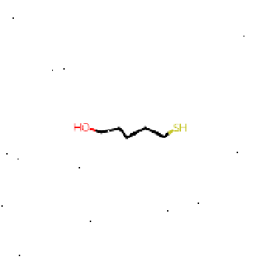 OCCCCCS